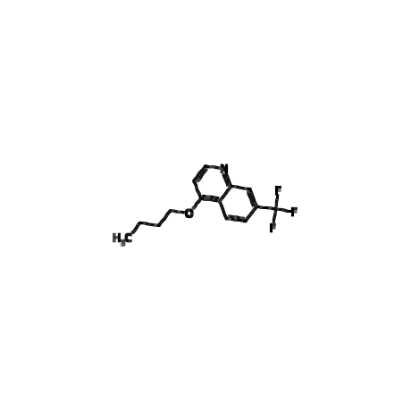 CCCCOc1ccnc2cc(C(F)(F)F)ccc12